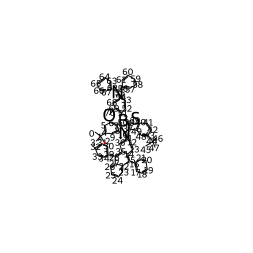 CC(C)(C)c1cc2c3c(c1)N(c1ccc4c(-c5ccccc5)c5ccccc5c(-c5ccccc5)c4c1)c1c(sc4ccc(C(C)(C)C)cc14)B3c1ccc(N(c3ccccc3)c3ccccc3)cc1O2